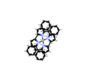 c1ccc(-c2ccc3n2[Si]2(n4c(-c5ccccc5)ccc4-3)n3c(-c4ccccc4)ccc3-c3ccc(-c4ccccc4)n32)cc1